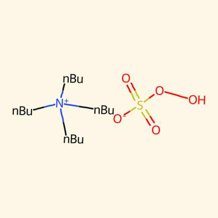 CCCC[N+](CCCC)(CCCC)CCCC.O=S(=O)([O-])OO